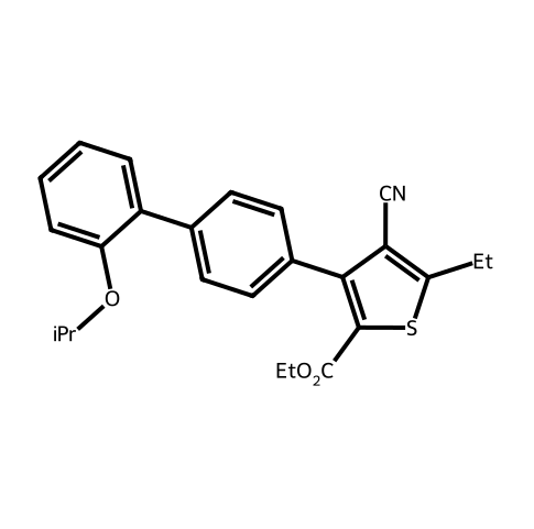 CCOC(=O)c1sc(CC)c(C#N)c1-c1ccc(-c2ccccc2OC(C)C)cc1